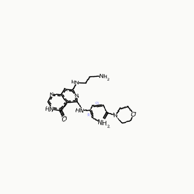 C=C(/C=C\C(=C/N)Nc1nc(NCCN)cc2nc[nH]c(=O)c12)N1CCOCC1